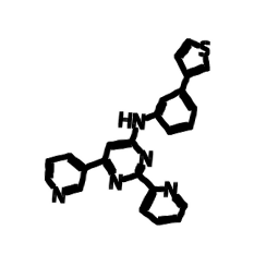 c1ccc(-c2nc(Nc3cccc(-c4ccsc4)c3)cc(-c3cccnc3)n2)nc1